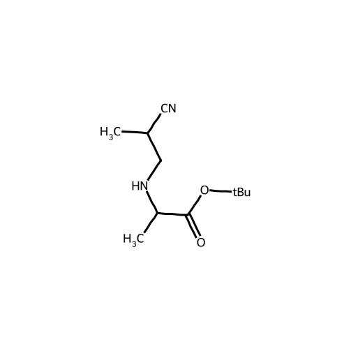 CC(C#N)CNC(C)C(=O)OC(C)(C)C